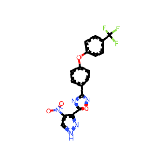 O=[N+]([O-])c1c[nH]nc1-c1nc(-c2ccc(Oc3ccc(C(F)(F)F)cc3)cc2)no1